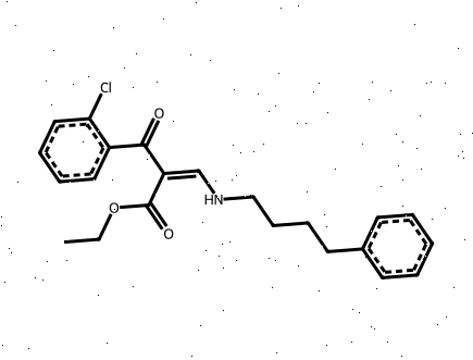 CCOC(=O)C(=CNCCCCc1ccccc1)C(=O)c1ccccc1Cl